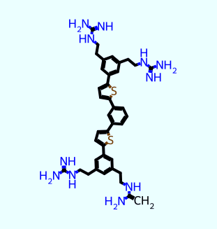 C=C(N)NCCc1cc(CCNC(=N)N)cc(-c2ccc(-c3cccc(-c4ccc(-c5cc(CCNC(=N)N)cc(CCNC(=N)N)c5)s4)c3)s2)c1